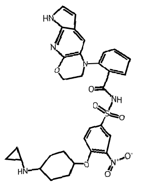 O=C(NS(=O)(=O)c1ccc(OC2CCC(NC3CC3)CC2)c([N+](=O)[O-])c1)c1ccccc1N1CCOc2nc3[nH]ccc3cc21